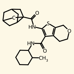 CC1CCCCC1NC(=O)c1c(NC(=O)C23CC4CC(CC2C4)C3)sc2c1CCOC2